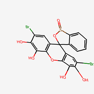 O=S1OC2(c3ccccc31)c1cc(Br)c(O)c(O)c1Oc1c2cc(Br)c(O)c1O